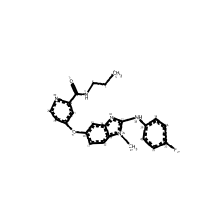 CCCNC(=O)c1cc(Oc2ccc3c(c2)nc(Nc2ccc(F)cc2)n3C)ccn1